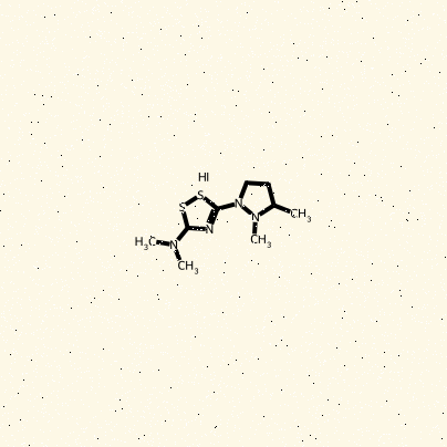 CC1CCN(C2=NC(N(C)C)SS2)N1C.I